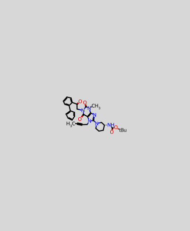 CC#CCn1c(N2CCC[C@@H](NC(=O)OC(C)(C)C)C2)nc2c1c(=O)n(CC(=O)c1ccccc1-c1ccccc1)c(=O)n2C